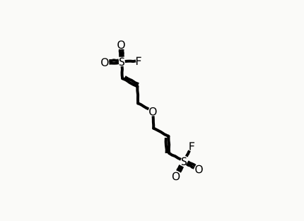 O=S(=O)(F)C=CCOCC=CS(=O)(=O)F